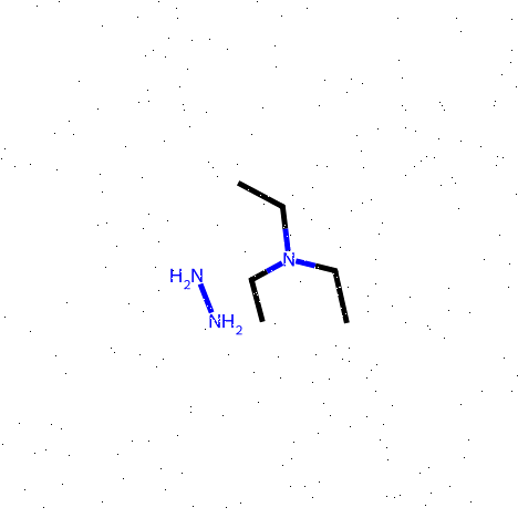 CCN(CC)CC.NN